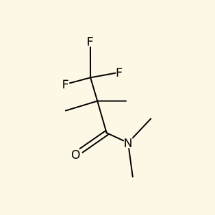 CN(C)C(=O)C(C)(C)C(F)(F)F